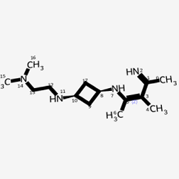 CC(=N)/C(C)=C(/C)N[C@H]1C[C@@H](NCCN(C)C)C1